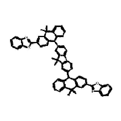 CC1(C)c2cc(C3c4ccccc4C(C)(C)c4cc(-c5nc6ccccc6o5)ccc43)ccc2-c2ccc(C3c4ccccc4C(C)(C)c4cc(-c5nc6ccccc6o5)ccc43)cc21